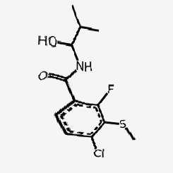 CSc1c(Cl)ccc(C(=O)NC(O)C(C)C)c1F